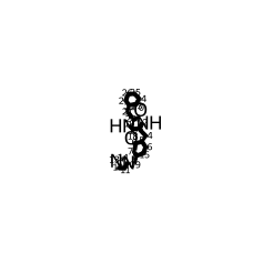 O=c1[nH]c(=Cc2ccc(Cn3ccnc3)cc2)c(=O)[nH]c1=Cc1ccccc1